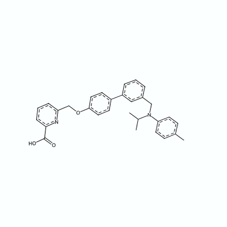 Cc1ccc(N(Cc2cccc(-c3ccc(OCc4cccc(C(=O)O)n4)cc3)c2)C(C)C)cc1